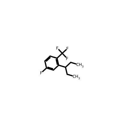 CCC(CC)c1cc(F)ccc1C(F)(F)F